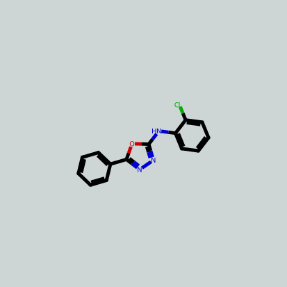 Clc1ccccc1Nc1nnc(-c2ccccc2)o1